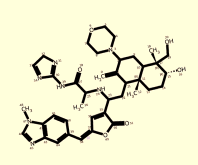 C=C1C(N2CCOCC2)CC2[C@](C)(CC[C@@H](O)[C@@]2(C)CO)C1CC(NC(C)C(=O)NC1=NCC=N1)C1=C/C(=C\c2ccc3c(c2)ncn3C)OC1=O